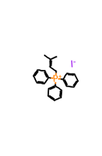 CC(C)=CC[P+](c1ccccc1)(c1ccccc1)c1ccccc1.[I-]